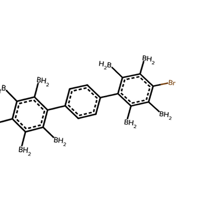 Bc1c(B)c(B)c(-c2ccc(-c3c(B)c(B)c(Br)c(B)c3B)cc2)c(B)c1B